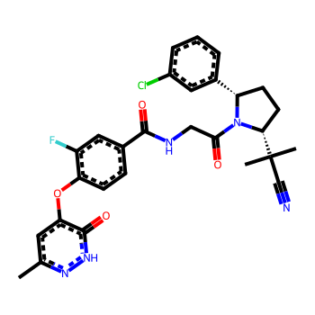 Cc1cc(Oc2ccc(C(=O)NCC(=O)N3[C@H](c4cccc(Cl)c4)CC[C@@H]3C(C)(C)C#N)cc2F)c(=O)[nH]n1